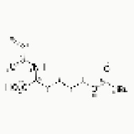 C=CC(=O)NC(CCCCOC(=O)C(C)CC)C(=O)O